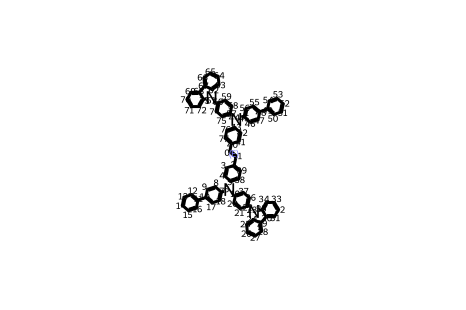 C(=C\c1ccc(N(c2ccc(-c3ccccc3)cc2)c2ccc(-n3c4ccccc4c4ccccc43)cc2)cc1)/c1ccc(N(c2ccc(-c3ccccc3)cc2)c2ccc(-n3c4ccccc4c4ccccc43)cc2)cc1